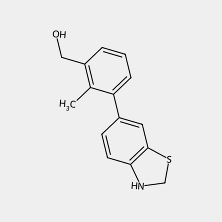 Cc1c(CO)cccc1-c1ccc2c(c1)SCN2